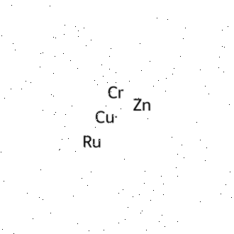 [Cr].[Cu].[Ru].[Zn]